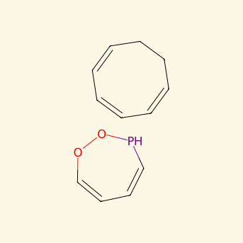 C1=CC=CCCC=C1.c1cc[pH]ooc1